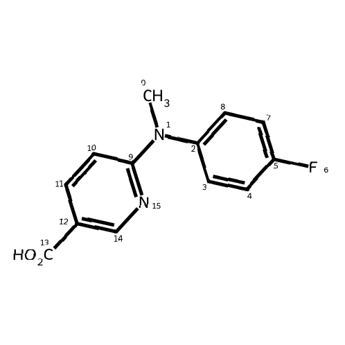 CN(c1ccc(F)cc1)c1ccc(C(=O)O)cn1